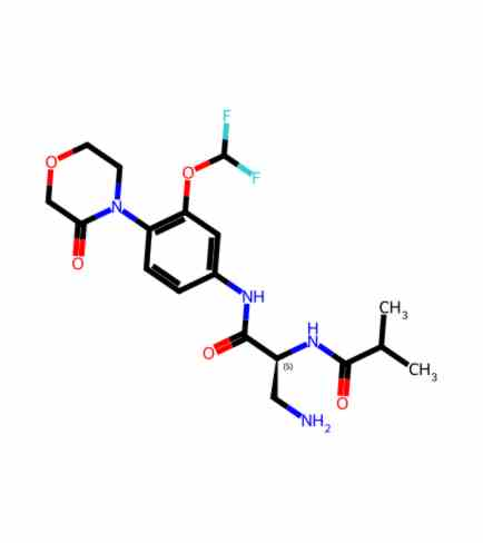 CC(C)C(=O)N[C@@H](CN)C(=O)Nc1ccc(N2CCOCC2=O)c(OC(F)F)c1